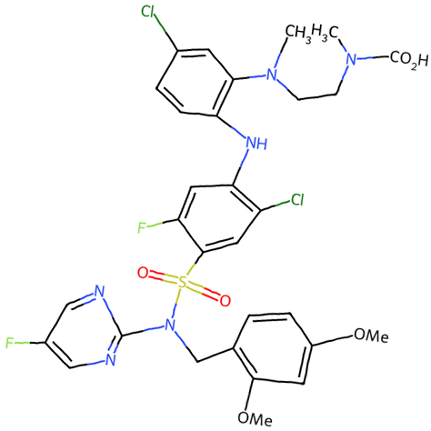 COc1ccc(CN(c2ncc(F)cn2)S(=O)(=O)c2cc(Cl)c(Nc3ccc(Cl)cc3N(C)CCN(C)C(=O)O)cc2F)c(OC)c1